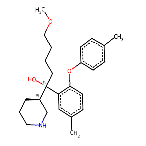 COCCCC[C@@](O)(c1cc(C)ccc1Oc1ccc(C)cc1)[C@@H]1CCCNC1